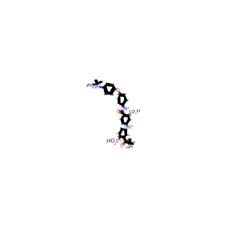 CC(C)C(C)(C)Nc1ccc(Oc2ccc(NC(=O)c3ccc(Nc4ccc(C(=O)O)c(C(=O)C(C)(C)C(C)C)c4)cc3C(=O)O)cc2)cc1